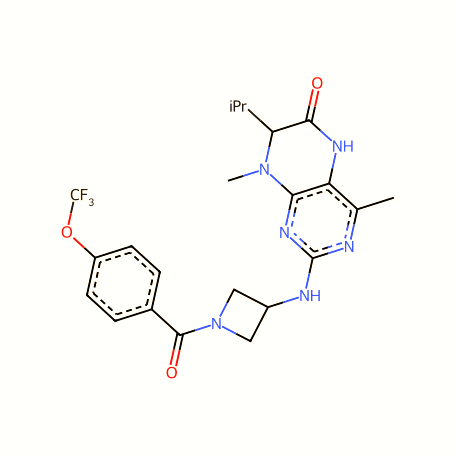 Cc1nc(NC2CN(C(=O)c3ccc(OC(F)(F)F)cc3)C2)nc2c1NC(=O)C(C(C)C)N2C